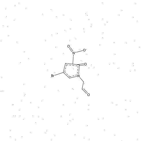 O=CCn1cc(Br)cc([N+](=O)[O-])c1=O